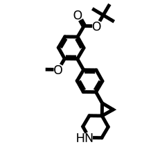 COc1ccc(C(=O)OC(C)(C)C)cc1-c1ccc(C2CC23CCNCC3)cc1